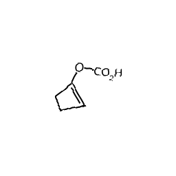 O=C(O)OC1=CCC1